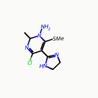 CSC1=C(C2=NCCN2)C(Cl)=NC(C)N1N